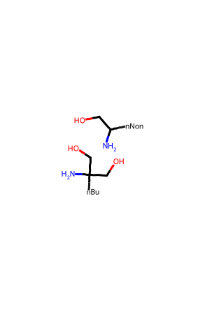 CCCCC(N)(CO)CO.CCCCCCCCCC(N)CO